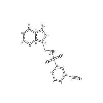 N#Cc1cccc(S(=O)(=O)NCc2c[nH]c3ncccc23)c1